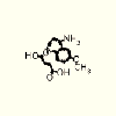 COc1ccc2nccc(N)c2c1.O=C(O)C=CC(=O)O